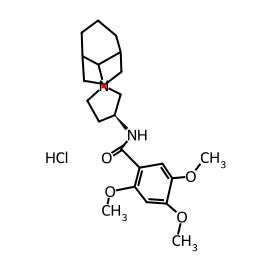 COc1cc(OC)c(C(=O)N[C@H]2CCN(C3C4CCCC3CCC4)C2)cc1OC.Cl